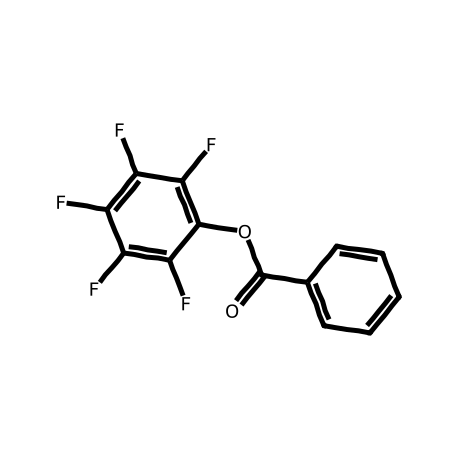 O=C(Oc1c(F)c(F)c(F)c(F)c1F)c1ccccc1